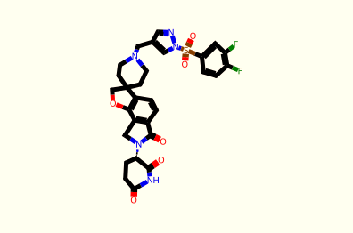 O=C1CC[C@H](N2Cc3c(ccc4c3OCC43CCN(Cc4cnn(S(=O)(=O)c5ccc(F)c(F)c5)c4)CC3)C2=O)C(=O)N1